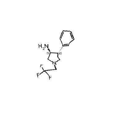 N[C@@H]1CN(CC(F)(F)F)C[C@H]1c1ccccc1